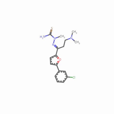 CN(C)CC/C(=N\N(C)C(N)=S)c1ccc(-c2cccc(Cl)c2)o1